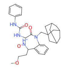 COCCC1c2ccccc2N(CC23CC4CC(CC(C4)C2)C3)C(=O)C(NC(=O)Nc2ccccc2)[NH+]1[O-]